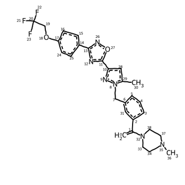 C=C(c1cccc(Cn2nc(-c3nc(-c4ccc(OCC(F)(F)F)cc4)no3)cc2C)c1)N1CCN(C)CC1